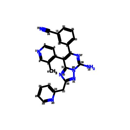 Cc1cnccc1-c1c(-c2cccc(C#N)c2)nc(N)n2nc(Cc3ccccn3)nc12